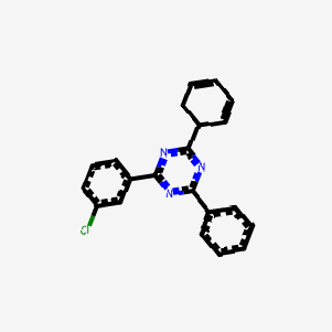 Clc1cccc(-c2nc(-c3ccccc3)nc(C3C=CC=CC3)n2)c1